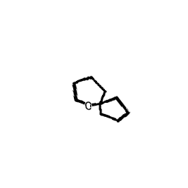 C1CCC2(CCCC2)OC1